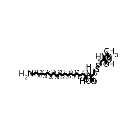 CC(=O)NC(CCSSCCC(NC(=O)CCCCCCCCCCCCCCCCCCN)C(=O)O)C(=O)O